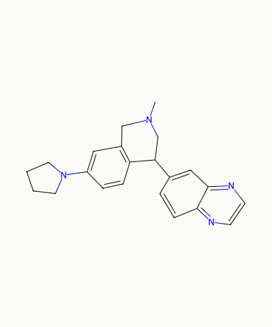 CN1Cc2cc(N3CCCC3)ccc2C(c2ccc3nccnc3c2)C1